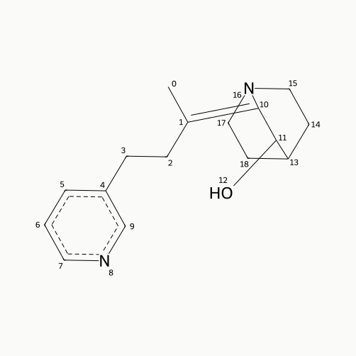 CC(CCc1cccnc1)=C1C(O)C2CCN1CC2